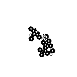 CC1(C)c2ccccc2-c2c1c1c(c3c2oc2ccccc23)-c2ccc(N(c3ccc4c(c3)C(c3ccccc3)(c3ccccc3)c3cc5c(cc3-4)C(c3ccccc3)(c3ccccc3)c3ccc4oc6ccccc6c4c3-5)c3ncccn3)cc2C1(C)C